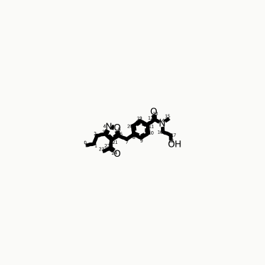 CCCc1noc(Cc2ccc(C(=O)N(C)CCO)cc2)c1C(C)=O